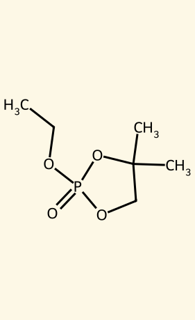 CCOP1(=O)OCC(C)(C)O1